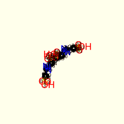 O=S(=O)(O)c1ccc(-c2cnn(-c3ccc(C=Cc4ccc(-n5ncc(-c6ccc(S(=O)(=O)O)cc6)n5)cc4S(=O)(=O)O)c(S(=O)(=O)O)c3)n2)cc1